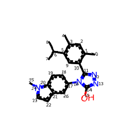 Cc1cc(C)c(C(C)C)cc1-c1nnc(O)n1-c1ccc2c(ccn2C)c1